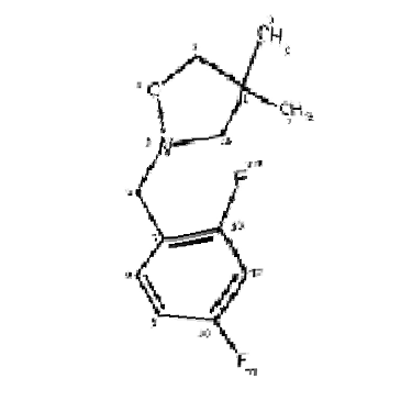 CC1(C)CON(Cc2ccc(F)cc2F)C1